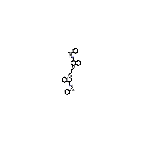 CN(/N=C/c1cc[n+](CCCC[n+]2ccc(/C=N/N(C)c3ccccc3)c3ccccc32)c2ccccc12)c1ccccc1